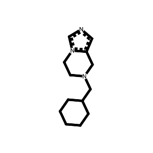 c1ncn2c1CN(CC1CCCCC1)CC2